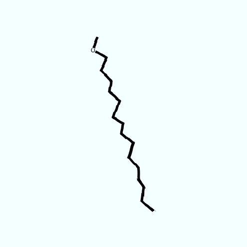 [CH2]CCCCCCCCCCCCCCOC